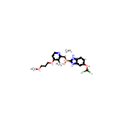 COCCCOc1ccnc(C[S+]([O-])c2nc3cc(OC(F)F)ccc3[nH]2)c1C.[CaH2]